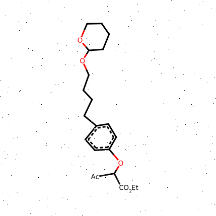 CCOC(=O)C(Oc1ccc(CCCCOC2CCCCO2)cc1)C(C)=O